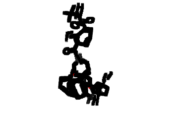 Cc1nc2ccccc2n1C1C[C@H]2CC[C@@H](C1)N2CCC1(c2cccc(F)c2)CCN(C(=O)c2cccc(S(=O)(=O)NC(C)(C)C)c2F)CC1